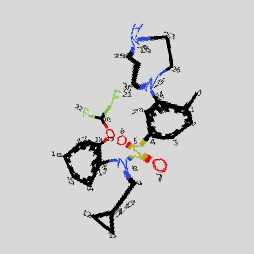 Cc1ccc(S(=O)(=O)N(CC2CC2)c2ccccc2OC(F)F)cc1N1CCNCC1